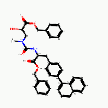 CC(C)N(CC(O)C(=O)OCc1ccccc1)C(=O)NC(Cc1ccc(-c2cccc3ccccc23)cc1)C(=O)OCc1ccccc1